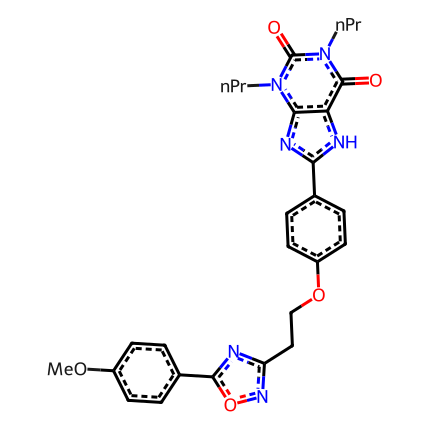 CCCn1c(=O)c2[nH]c(-c3ccc(OCCc4noc(-c5ccc(OC)cc5)n4)cc3)nc2n(CCC)c1=O